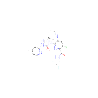 O=C(NCC(F)(F)F)c1nc2c(cc1Cl)N1CCC[C@@H](C1)N2C(=O)Nc1ccccn1